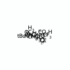 CC(C)(C)NC(=O)C(C)(C)c1ccc2c(c1)cc(-c1ccccc1OC(F)(F)F)n2CC(=O)O